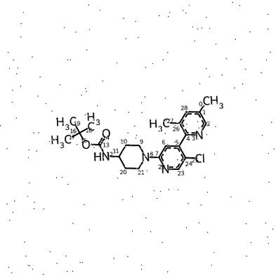 Cc1cnc(-c2cc(N3CCC(NC(=O)OC(C)(C)C)CC3)ncc2Cl)c(C)c1